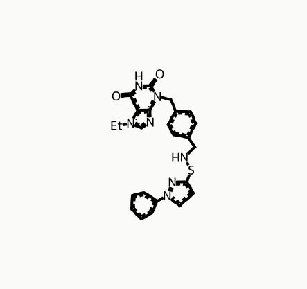 CCn1cnc2c1c(=O)[nH]c(=O)n2Cc1ccc(CNSc2ccn(-c3ccccc3)n2)cc1